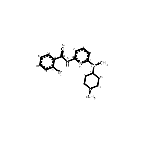 CN1CCC(N(C)c2cccc(NC(=O)c3ccccc3Br)n2)CC1